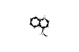 COc1ccnc2[c]cccc12